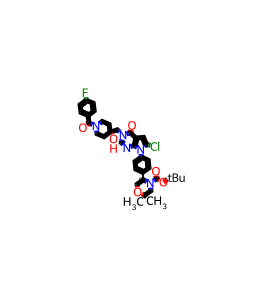 CC(C)(C)OC(=O)N1CC(C)(C)OC[C@H]1c1ccc(-n2c(Cl)cc3c(=O)n(CC4(O)CCN(C(=O)c5ccc(F)cc5)CC4)cnc32)cc1